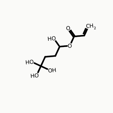 C=CC(=O)OC(O)CCC(O)(O)O